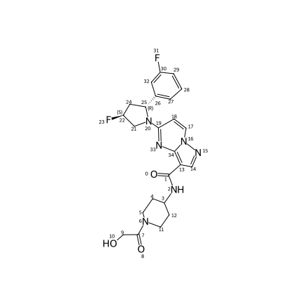 O=C(NC1CCN(C(=O)CO)CC1)c1cnn2ccc(N3C[C@@H](F)C[C@@H]3c3cccc(F)c3)nc12